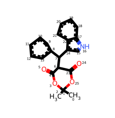 CC1(C)OC(=O)C(C(c2ccccc2)c2c[nH]c3ccccc23)C(=O)O1